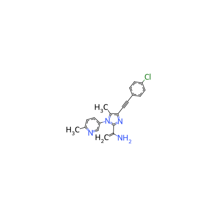 C=C(N)c1nc(C#Cc2ccc(Cl)cc2)c(C)n1-c1ccc(C)nc1